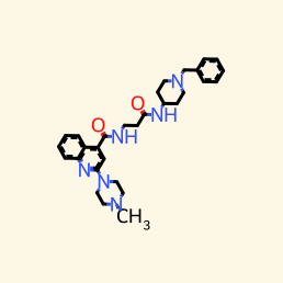 CN1CCN(c2cc(C(=O)NCCC(=O)NC3CCN(Cc4ccccc4)CC3)c3ccccc3n2)CC1